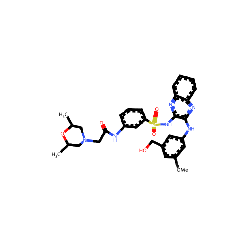 COc1cc(CO)cc(Nc2nc3ccccc3nc2NS(=O)(=O)c2cccc(NC(=O)CN3CC(C)OC(C)C3)c2)c1